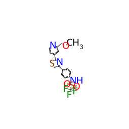 COCc1cc(-c2nc(-c3ccc(NS(=O)(=O)C(F)(F)F)cc3)cs2)ccn1